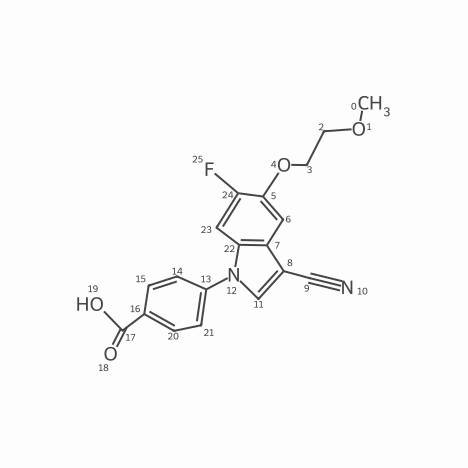 COCCOc1cc2c(C#N)cn(-c3ccc(C(=O)O)cc3)c2cc1F